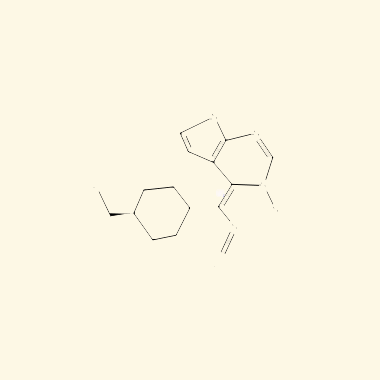 C=N/C(=C1/c2cc[nH]c2N=CN1N)[C@H]1CC[C@H](CBr)CC1